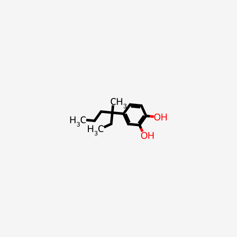 CCCC(C)(CC)c1ccc(O)c(O)c1